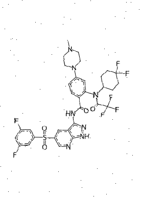 CN1CCN(c2ccc(C(=O)Nc3n[nH]c4ncc(S(=O)(=O)c5cc(F)cc(F)c5)cc34)c(N(C(=O)C(F)(F)F)C3CCC(F)(F)CC3)c2)CC1